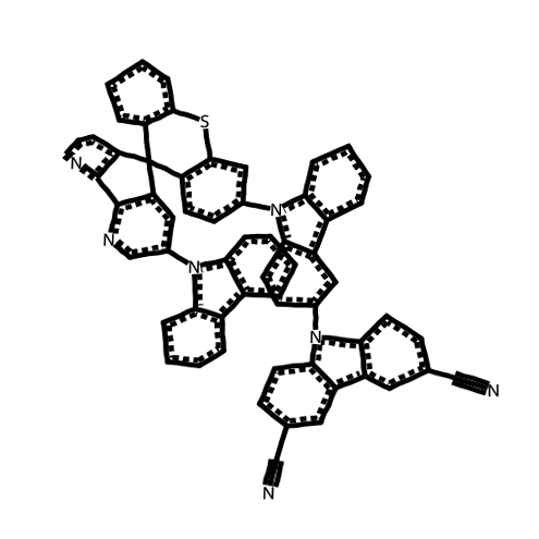 N#Cc1ccc2c(c1)c1cc(C#N)ccc1n2-c1ccc2c(c1)c1ccccc1n2-c1ccc2c(c1)Sc1ccccc1C21c2cccnc2-c2ncc(-n3c4ccccc4c4ccccc43)cc21